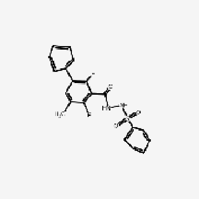 Cc1cc(-c2ccccc2)c(F)c(C(=O)NNS(=O)(=O)c2ccccc2)c1F